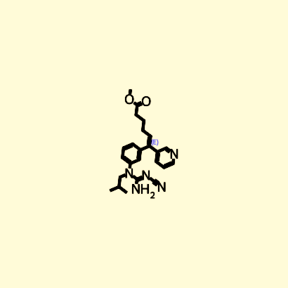 COC(=O)CCC/C=C(/c1cccnc1)c1cccc(N(CC(C)C)C(N)=NC#N)c1